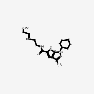 CNCCNCCNC(=O)c1cc2c(C)nn(C3CCCCC3)c2s1